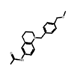 COCc1ccc(CN2CCCc3cc(NC(C)=O)ccc32)cc1